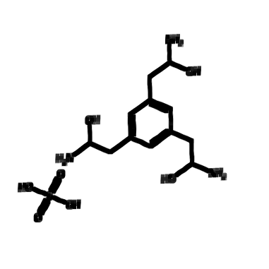 NC(O)Cc1cc(CC(N)O)cc(CC(N)O)c1.O=S(=O)(O)O